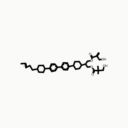 C=C(CO)C(=O)OCC(COC(=O)C(C)(C)CO)C1CCC(c2ccc(-c3ccc(C4CCC(CC/C=C/C)CC4)cc3)cc2)CC1